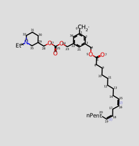 [CH2]c1cc(COC(=O)CCCCCCC/C=C\C/C=C\CCCCC)cc(COC(=O)OCC2CCCN(CC)C2)c1